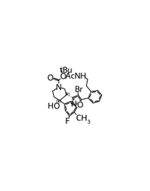 CC(=O)NCCc1ccccc1-c1onc([C@H]2CN(C(=O)OC(C)(C)C)CC[C@]2(O)c2ccc(C)c(F)c2)c1Br